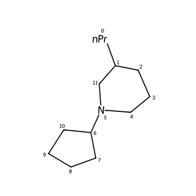 [CH2]CCC1CCCN(C2CCCC2)C1